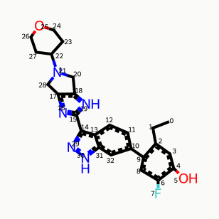 CCc1cc(O)c(F)cc1-c1ccc2c(-c3nc4c([nH]3)CN(C3CCOCC3)C4)n[nH]c2c1